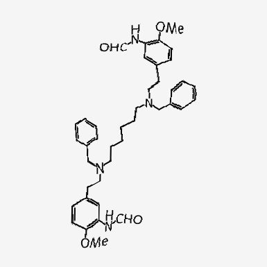 COc1ccc(CCN(CCCCCCN(CCc2ccc(OC)c(NC=O)c2)Cc2ccccc2)Cc2ccccc2)cc1NC=O